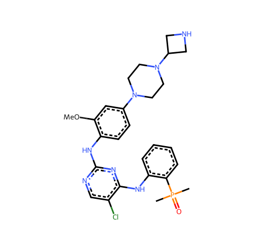 COc1cc(N2CCN(C3CNC3)CC2)ccc1Nc1ncc(Cl)c(Nc2ccccc2P(C)(C)=O)n1